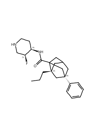 CCC[C@]12CC3CC1(C(=O)N[C@@H]1CCNC[C@@H]1F)C[C@@](c1ccccc1)(C3)C2